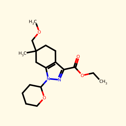 CCOC(=O)c1nn(C2CCCCO2)c2c1CCC(C)(COC)C2